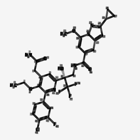 CCOc1c(CC(N)=O)cc([C@@](O)(CNC(=O)c2cc(OC)n3nc(C4CC4)cc3c2)C(F)(F)F)nc1-c1ccc(Cl)c(F)c1